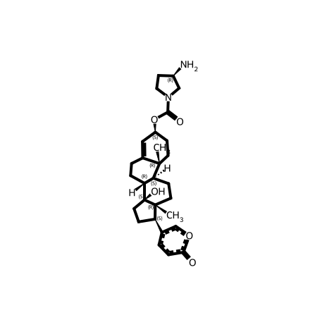 C[C@]12CC[C@H](OC(=O)N3CC[C@@H](N)C3)C=C1CC[C@@H]1[C@@H]2CC[C@]2(C)[C@@H](c3ccc(=O)oc3)CC[C@]12O